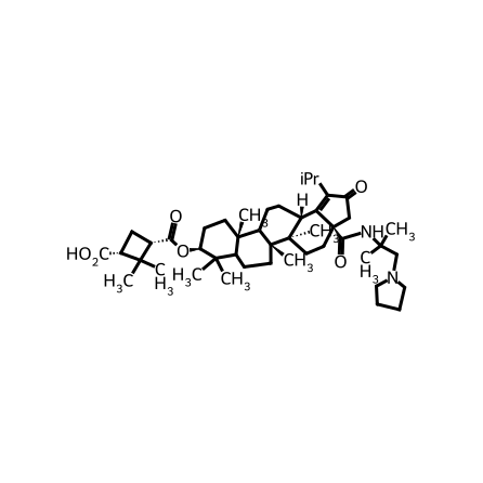 CC(C)C1=C2[C@H]3CCC4[C@@]5(C)CC[C@H](OC(=O)[C@H]6C[C@@H](C(=O)O)C6(C)C)C(C)(C)C5CC[C@@]4(C)[C@]3(C)CC[C@@]2(C(=O)NC(C)(C)CN2CCCC2)CC1=O